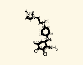 CCN(CCn1cc[n+](C)c1)c1ccc(/N=C2\C=C(C)C(=O)C(Cl)=C2N)cc1